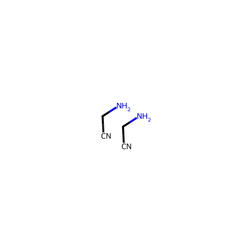 N#CCN.N#CCN